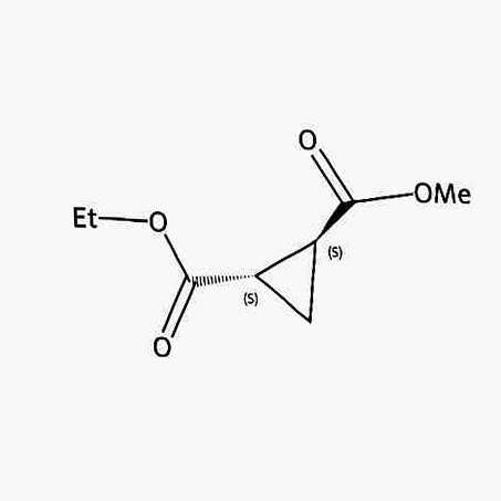 CCOC(=O)[C@H]1C[C@@H]1C(=O)OC